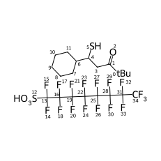 CC(C)(C)C(=O)CC(S)C1CCCCC1.O=S(=O)(O)C(F)(F)C(F)(F)C(F)(F)C(F)(F)C(F)(F)C(F)(F)C(F)(F)C(F)(F)F